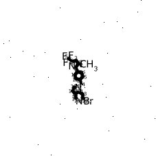 Cn1cc(C(F)(F)F)nc1-c1ccc(Cn2ccc3cnc(Br)cc32)cc1